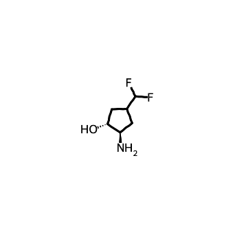 N[C@@H]1CC(C(F)F)C[C@H]1O